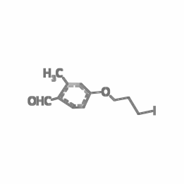 Cc1cc(OCCCI)ccc1C=O